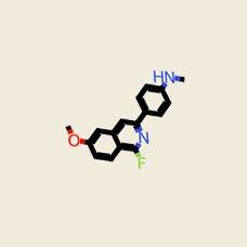 CNc1ccc(-c2cc3cc(OC)ccc3c(F)n2)cc1